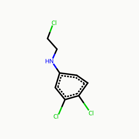 ClCCNc1ccc(Cl)c(Cl)c1